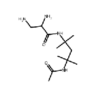 CC(=O)NC(C)(C)CC(C)(C)NC(=O)C(N)CN